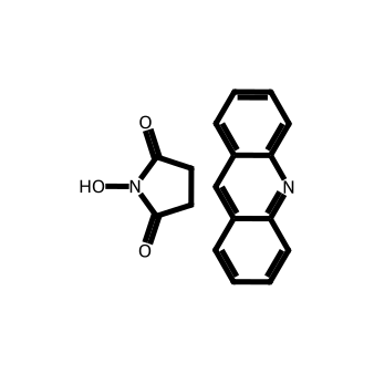 O=C1CCC(=O)N1O.c1ccc2nc3ccccc3cc2c1